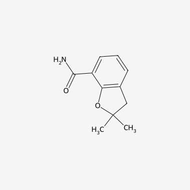 CC1(C)Cc2cccc(C(N)=O)c2O1